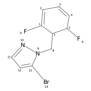 FC1=CC=CC(F)C1Cn1nccc1Br